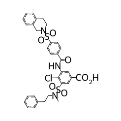 CN(CCc1ccccc1)S(=O)(=O)c1cc(C(=O)O)cc(NC(=O)c2ccc(S(=O)(=O)N3CCc4ccccc4C3)cc2)c1Cl